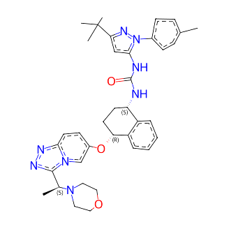 Cc1ccc(-n2nc(C(C)(C)C)cc2NC(=O)N[C@H]2CC[C@@H](Oc3ccc4nnc([C@H](C)N5CCOCC5)n4c3)c3ccccc32)cc1